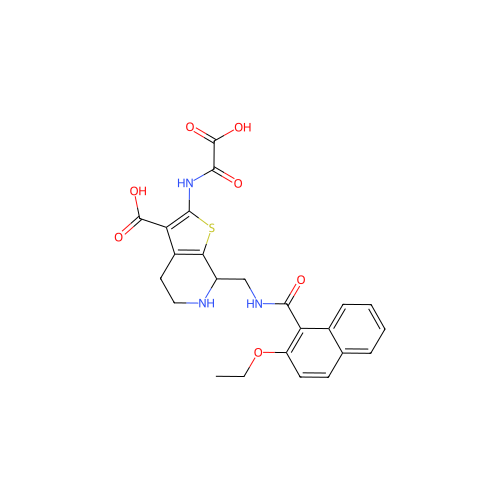 CCOc1ccc2ccccc2c1C(=O)NCC1NCCc2c1sc(NC(=O)C(=O)O)c2C(=O)O